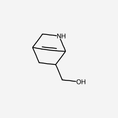 OCC1CC2C=CC1NC2